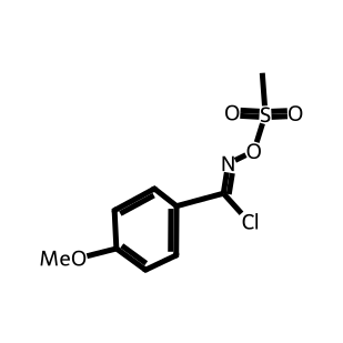 COc1ccc(/C(Cl)=N/OS(C)(=O)=O)cc1